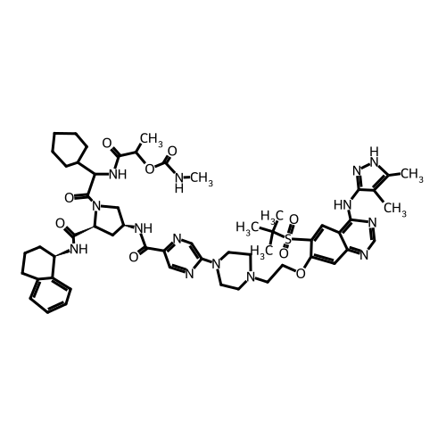 CNC(=O)OC(C)C(=O)NC(C(=O)N1C[C@@H](NC(=O)c2cnc(N3CCN(CCOc4cc5ncnc(Nc6n[nH]c(C)c6C)c5cc4S(=O)(=O)C(C)(C)C)CC3)cn2)C[C@H]1C(=O)N[C@@H]1CCCc2ccccc21)C1CCCCC1